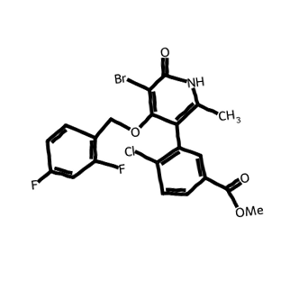 COC(=O)c1ccc(Cl)c(-c2c(C)[nH]c(=O)c(Br)c2OCc2ccc(F)cc2F)c1